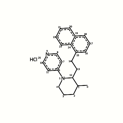 CC1CCCN(c2ccncc2)C1CCc1cccc2ccccc12.Cl